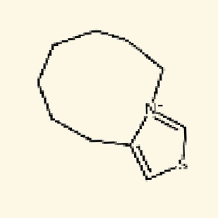 c1sc[n+]2c1CCCCCCC2